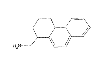 NCC1CCCC2C1=CC=C1C=CC=CC12